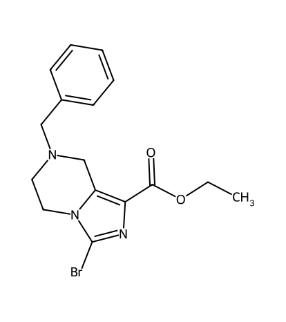 CCOC(=O)c1nc(Br)n2c1CN(Cc1ccccc1)CC2